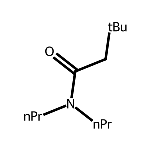 CCCN(CCC)C(=O)CC(C)(C)C